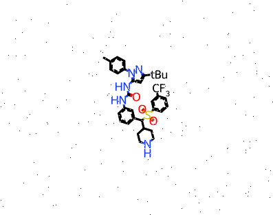 Cc1ccc(-n2nc(C(C)(C)C)cc2NC(=O)Nc2cccc(C(C3CCNCC3)S(=O)(=O)c3cccc(C(F)(F)F)c3)c2)cc1